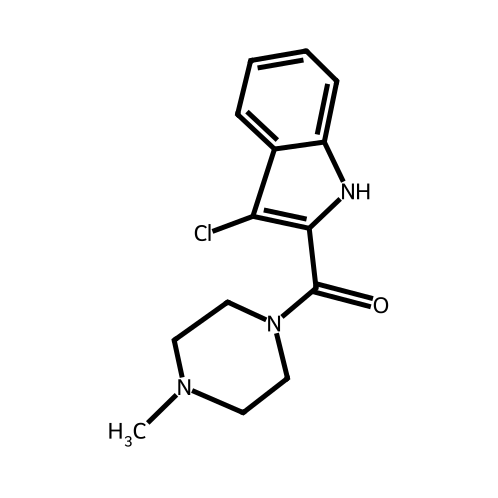 CN1CCN(C(=O)c2[nH]c3ccccc3c2Cl)CC1